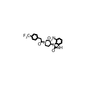 O=C(Cc1ccc(C(F)(F)F)cc1)N1CCC(n2c(=O)[nH]c3cccc([N+](=O)[O-])c32)CC1